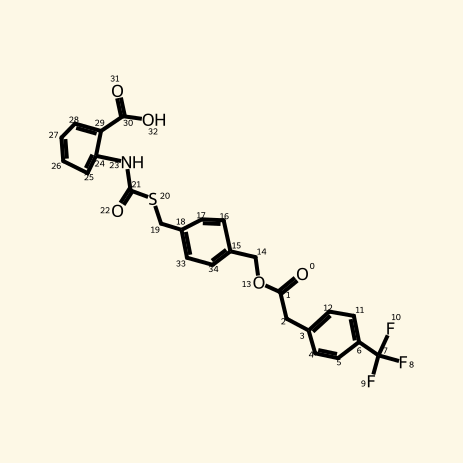 O=C(Cc1ccc(C(F)(F)F)cc1)OCc1ccc(CSC(=O)Nc2ccccc2C(=O)O)cc1